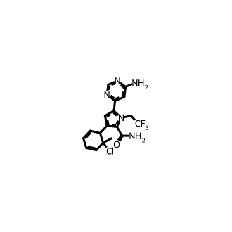 CC1(Cl)C=CC=CC1c1cc(-c2cc(N)ncn2)n(CC(F)(F)F)c1C(N)=O